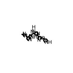 Cc1cn(-c2ccnc3[nH]c(-c4n[nH]c5cnc(-c6cncc(OC7CCNCC7)c6)cc45)cc23)cn1